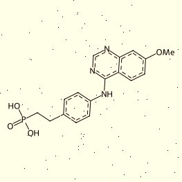 COc1ccc2c(Nc3ccc(CCP(=O)(O)O)cc3)ncnc2c1